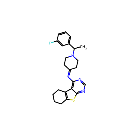 CC(c1cccc(F)c1)N1CCC(=Nc2ncnc3sc4c(c23)CCCC4)CC1